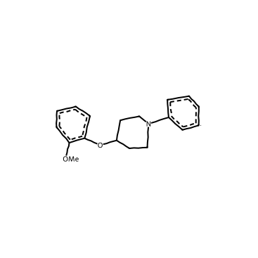 COc1ccccc1OC1CCN(c2c[c]ccc2)CC1